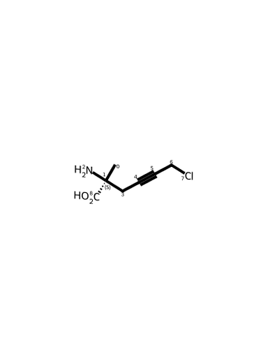 C[C@](N)(CC#CCCl)C(=O)O